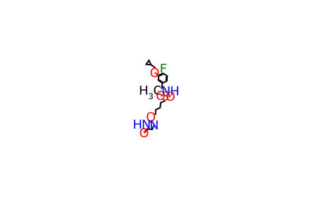 C[C@@H](NS(=O)(=O)CCCCCOC1=NCC(=O)N1)c1ccc(F)c(OCC2CC2)c1